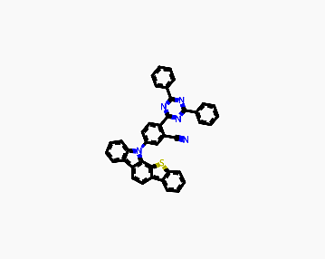 N#Cc1cc(-n2c3ccccc3c3ccc4c5ccccc5sc4c32)ccc1-c1nc(-c2ccccc2)nc(-c2ccccc2)n1